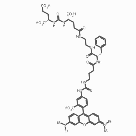 CCN(CC)c1ccc2c(-c3ccc(NC(=S)NCCCC(=O)N[C@@H](Cc4ccccc4)C(=O)NCCNC(=O)CC[C@H](NC(=O)N[C@@H](CCC(=O)O)C(=O)O)C(=O)O)cc3C(=O)O)c3ccc(=[N+](CC)CC)cc-3oc2c1